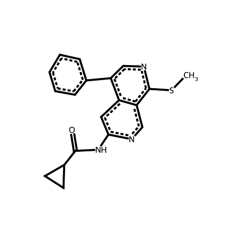 CSc1ncc(-c2ccccc2)c2cc(NC(=O)C3CC3)ncc12